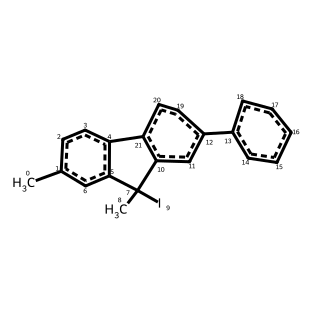 Cc1ccc2c(c1)C(C)(I)c1cc(-c3ccccc3)ccc1-2